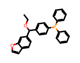 CCOC(c1ccc(P(c2ccccc2)c2ccccc2)cc1)c1ccc2ccoc2c1